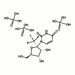 O=P(O)(O)O.O=P(O)(O)O.O=P(O)(O)O.O=c1ccn([C@]2(C(F)(F)F)O[C@H](CO)[C@@H](O)[C@H]2O)c(=O)[nH]1